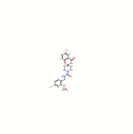 COc1cc(F)ccc1CNC(=O)N1CCC2(CC1)CC(=O)c1cc(F)ccc1O2